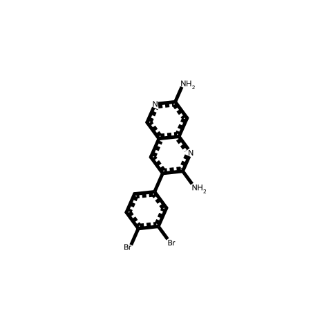 Nc1cc2nc(N)c(-c3ccc(Br)c(Br)c3)cc2cn1